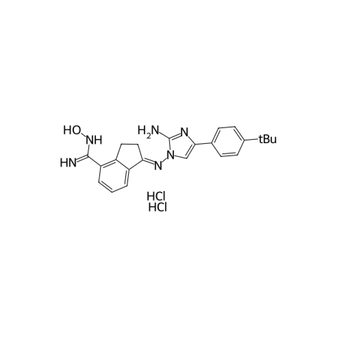 CC(C)(C)c1ccc(-c2cn(N=C3CCc4c(C(=N)NO)cccc43)c(N)n2)cc1.Cl.Cl